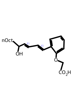 CCCCCCCCC(O)/C=C/C=C/c1ccccc1OCC(=O)O